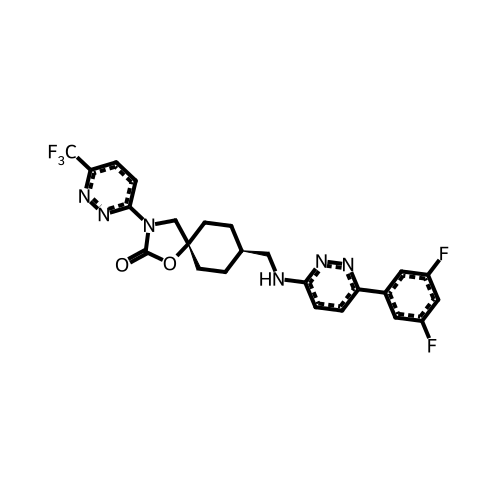 O=C1O[C@]2(CC[C@H](CNc3ccc(-c4cc(F)cc(F)c4)nn3)CC2)CN1c1ccc(C(F)(F)F)nn1